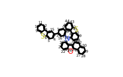 c1cc(-c2ccc3sc4ccccc4c3c2)cc(N(c2cccc3oc4c5ccccc5ccc4c23)c2cccc3sc4ccccc4c23)c1